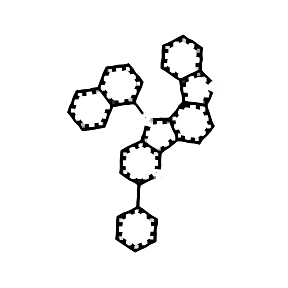 c1ccc(-c2ccc3c(n2)c2ccc4sc5ccccc5c4c2n3-c2cccc3ccccc23)cc1